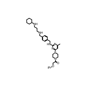 Cc1cc(N2CCN(C(=O)COC(C)C)CC2)nc(NCc2ccc(CNCCCNC3CCCCC3)cc2)n1